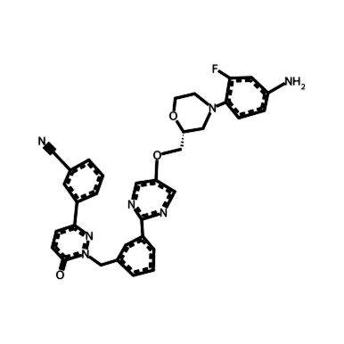 N#Cc1cccc(-c2ccc(=O)n(Cc3cccc(-c4ncc(OC[C@H]5CN(c6ccc(N)cc6F)CCO5)cn4)c3)n2)c1